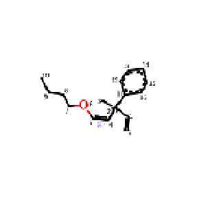 C=C[C@](C)(/C=C\OCCCC)c1ccccc1